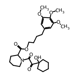 COc1cc(CCCCOC(=O)C2CCCCN2C(=O)C(=O)C2(O)CCCCC2)cc(OC)c1OC